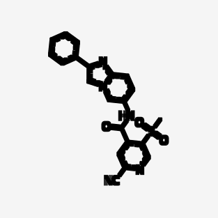 CS(=O)(=O)c1cnc(C#N)cc1C(=O)Nc1ccc2nc(-c3ccccc3)cn2c1